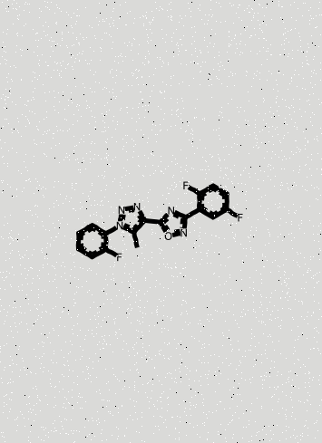 Cc1c(-c2nc(-c3cc(F)ccc3F)no2)nnn1-c1ccccc1F